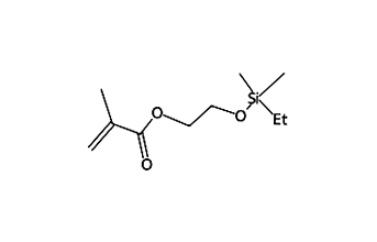 [CH2]C[Si](C)(C)OCCOC(=O)C(=C)C